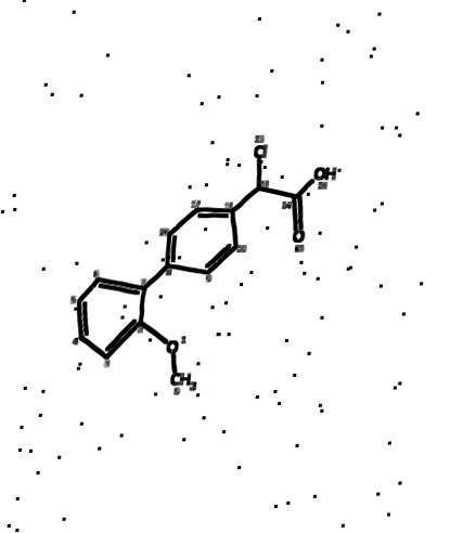 COc1ccccc1-c1ccc(C(Cl)C(=O)O)cc1